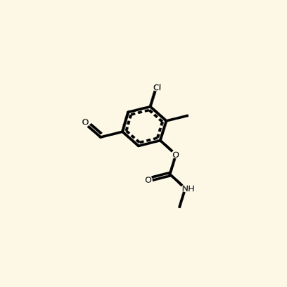 CNC(=O)Oc1cc(C=O)cc(Cl)c1C